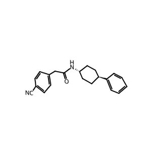 N#Cc1ccc(CC(=O)N[C@H]2CC[C@H](c3ccccc3)CC2)cc1